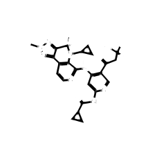 [2H]C([2H])([2H])CC(=O)c1cnc(NC(=O)C2CC2)cc1Nc1nccc2c1N(C1CC1)[C@H](C)c1nn(C)nc1-2